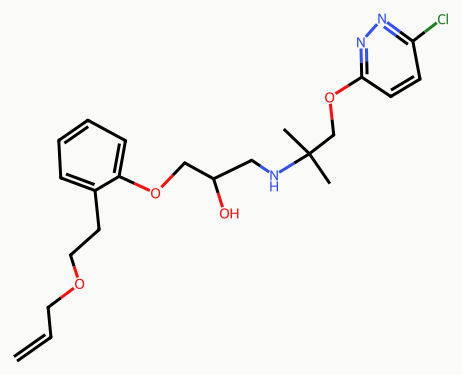 C=CCOCCc1ccccc1OCC(O)CNC(C)(C)COc1ccc(Cl)nn1